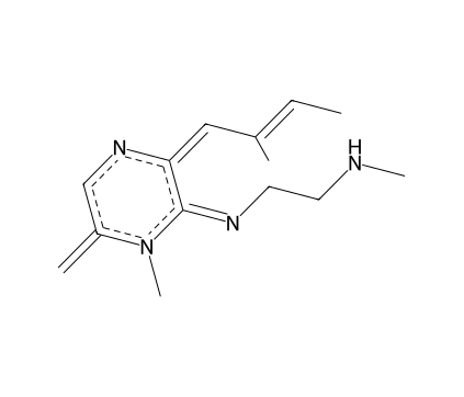 C=c1cnc(=C/C(C)=C/C)/c(=N\CCNC)n1C